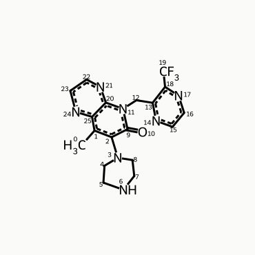 Cc1c(N2CCNCC2)c(=O)n(Cc2nccnc2C(F)(F)F)c2nccnc12